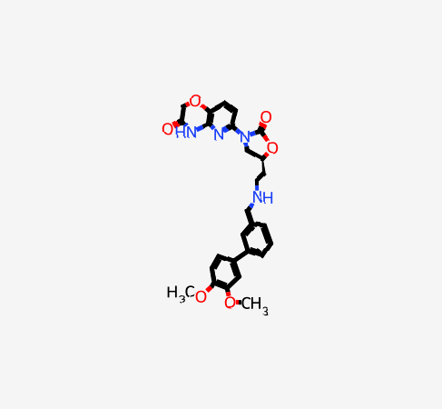 COc1ccc(-c2cccc(CNCC[C@H]3CN(c4ccc5c(n4)NC(=O)CO5)C(=O)O3)c2)cc1OC